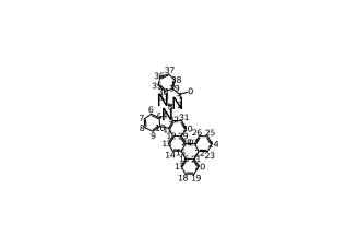 Cc1nc(-n2c3ccccc3c3c4ccc5c6ccccc6c6ccccc6c5c4ccc32)nc2ccccc12